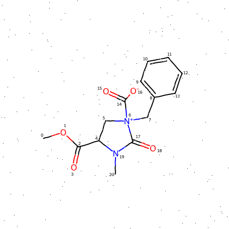 COC(=O)C1C[N+](Cc2ccccc2)(C(=O)[O-])C(=O)N1C